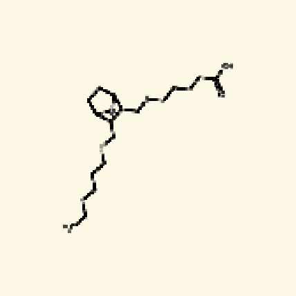 CCCCCCSCC1C2CCC(O2)C1CSCCCCC(=O)O